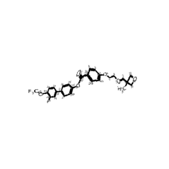 CC1(COCCOc2ccc(C(=O)Oc3ccc(-c4ccc(OC(F)(F)F)c(F)c4)cc3)cc2)COC1